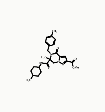 COC(=O)c1cc2n(n1)CC(C)(C(=O)NC1CCC(C)CC1)N(Cc1ccc(C)cc1)C2=O